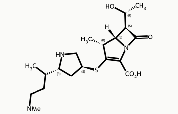 CNCCC(C)[C@H]1C[C@H](SC2=C(C(=O)O)N3C(=O)[C@H]([C@@H](C)O)[C@H]3[C@H]2C)CN1